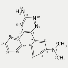 CN(C)c1cccc(-c2nnc(N)nc2-c2ccccc2)c1